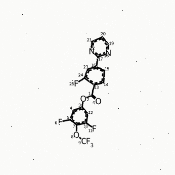 O=C(Oc1cc(F)c(OC(F)(F)F)c(F)c1)c1ccc(-c2ncccn2)cc1F